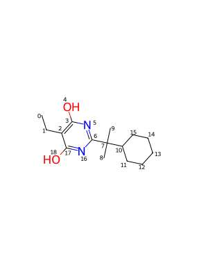 CCc1c(O)nc(C(C)(C)C2CCCCC2)nc1O